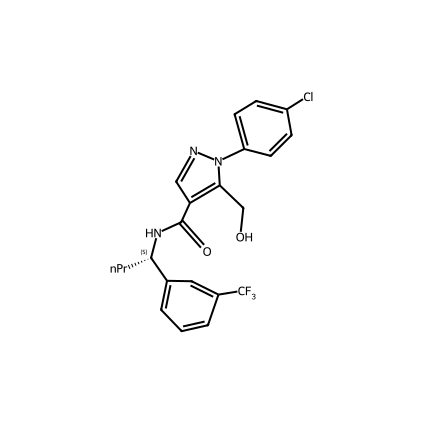 CCC[C@H](NC(=O)c1cnn(-c2ccc(Cl)cc2)c1CO)c1cccc(C(F)(F)F)c1